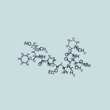 CCO[C@H](C[C@H](C(C)C)N(C)C(=O)[C@@H](NC(=O)C1CCCCN1C)[C@@H](C)OC(C)(C)C)c1nc(C(=O)N[C@@H](Cc2ccccc2)C[C@H](C)C(=O)O)cs1